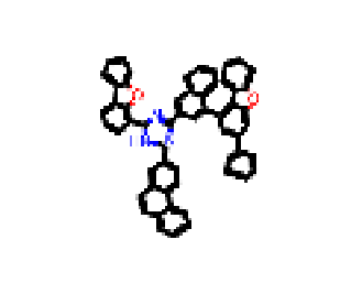 c1ccc(-c2cc(-c3cc(C4=NC(c5cccc6c5oc5ccccc56)NC(c5ccc6c(ccc7ccccc76)c5)=N4)cc4ccccc34)c3c(c2)oc2ccccc23)cc1